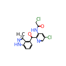 Cc1n[nH]c2cccc(C(=O)c3ncc(Cl)cc3NC(=O)CCl)c12